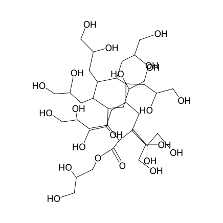 O=C(OCC(O)CO)C(CC(O)CO)C(CC(O)CO)C(CC(O)CO)C(CC(O)CO)C(CC(O)CO)C(CC(O)CO)C(CC(O)CO)C(CCC(O)CO)CC(O)CO